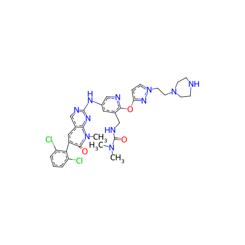 CN(C)C(=O)NCc1cc(Nc2ncc3cc(-c4c(Cl)cccc4Cl)c(=O)n(C)c3n2)cnc1Oc1ccn(CCN2CCNCC2)n1